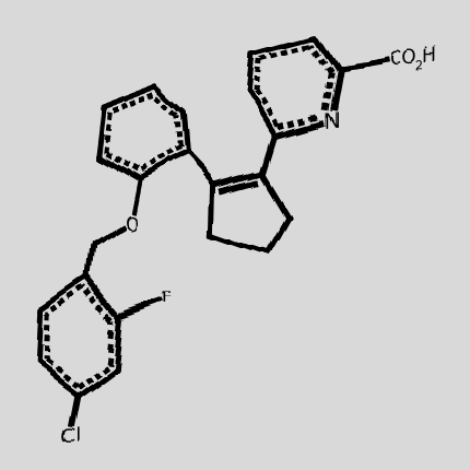 O=C(O)c1cccc(C2=C(c3ccccc3OCc3ccc(Cl)cc3F)CCC2)n1